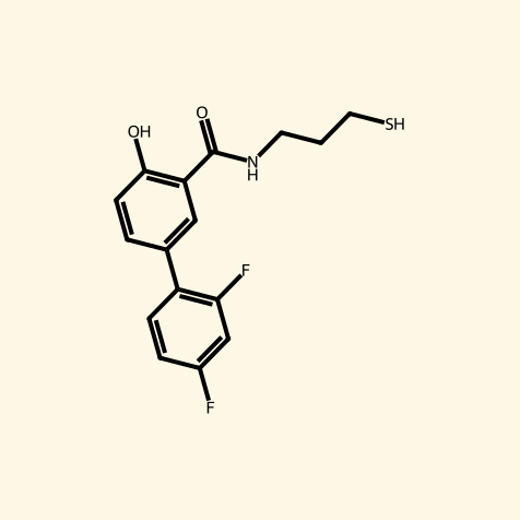 O=C(NCCCS)c1cc(-c2ccc(F)cc2F)ccc1O